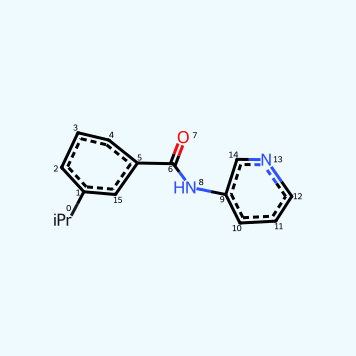 CC(C)c1cccc(C(=O)Nc2cccnc2)c1